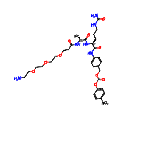 CC(C)[C@H](NC(=O)CCOCCOCCOCCN)C(=O)N[C@@H](CCCNC(N)=O)C(=O)Nc1ccc(COC(=O)Oc2ccc([N+](=O)[O-])cc2)cc1